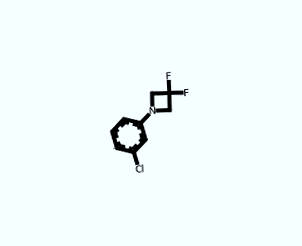 FC1(F)CN(c2cc[c]c(Cl)c2)C1